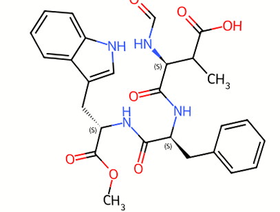 COC(=O)[C@H](Cc1c[nH]c2ccccc12)NC(=O)[C@H](Cc1ccccc1)NC(=O)[C@@H](NC=O)C(C)C(=O)O